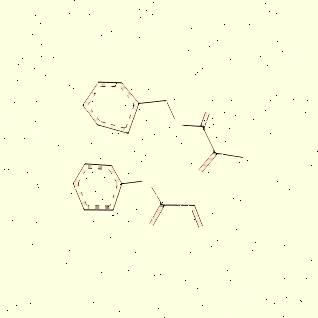 C=C(C)C(=O)OCc1ccccc1.C=CC(=O)Oc1ccccc1